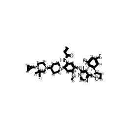 C=CC(=O)Nc1cc(Nc2cc(N3OCC[C@@H]3c3cc(F)cc(F)c3)ncn2)c(OC)cc1N1CCC(N2CCN(C3CC3)C(C)(C)C2)CC1